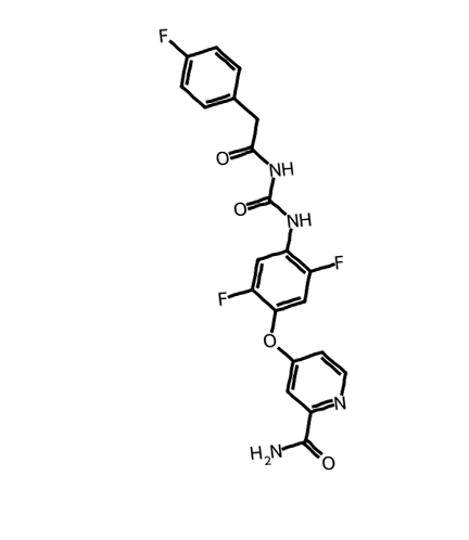 NC(=O)c1cc(Oc2cc(F)c(NC(=O)NC(=O)Cc3ccc(F)cc3)cc2F)ccn1